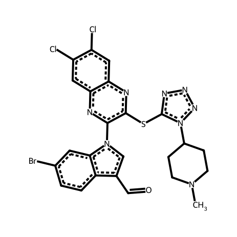 CN1CCC(n2nnnc2Sc2nc3cc(Cl)c(Cl)cc3nc2-n2cc(C=O)c3ccc(Br)cc32)CC1